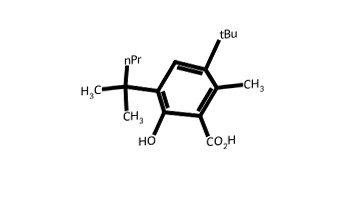 CCCC(C)(C)c1cc(C(C)(C)C)c(C)c(C(=O)O)c1O